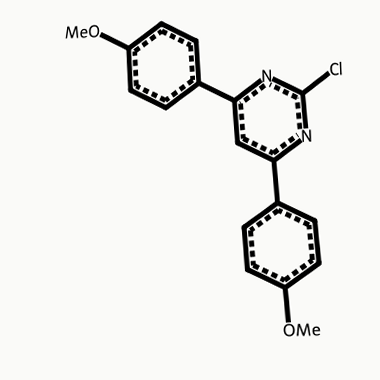 COc1ccc(-c2cc(-c3ccc(OC)cc3)nc(Cl)n2)cc1